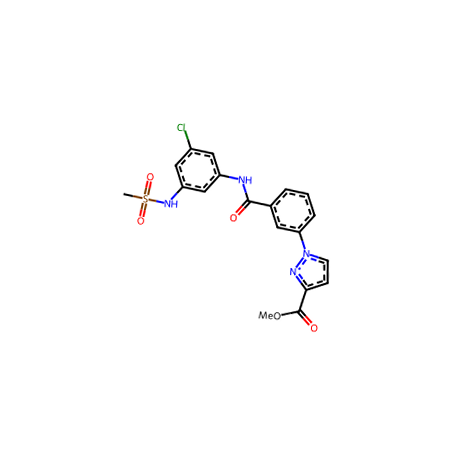 COC(=O)c1ccn(-c2cccc(C(=O)Nc3cc(Cl)cc(NS(C)(=O)=O)c3)c2)n1